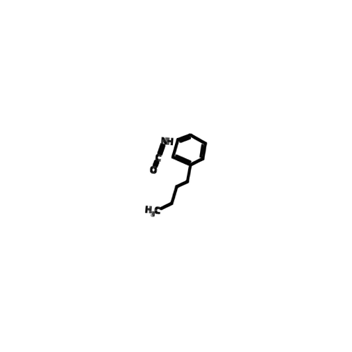 CCCCc1ccccc1.N=C=O